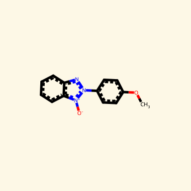 COc1ccc(-n2nc3ccccc3[n+]2[O-])cc1